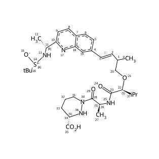 CC(/C=C/c1ccc2ccc([C@@H](C)N[S@@+]([O-])C(C)(C)C)nc2c1)CO[C@H](C(=O)N[C@@H](C)C(=O)N1CCC[C@@H](C(=O)O)N1)C(C)C